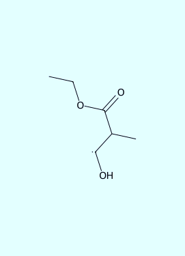 CCOC(=O)C(C)[CH]O